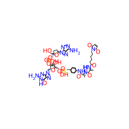 C[C@H](NC(=O)CCCCCN1C(=O)C=CC1=O)C(=O)N[C@@H](C)C(=O)Nc1ccc(CSP(=O)(O)OC[C@H]2O/C(=C\n3cnc4c(=O)[nH]c(N)nc43)[C@H](OP(=O)(O)OC[C@]3(CO)CC[C@H](n4cnc5c(N)ncnc54)O3)[C@@H]2O)cc1